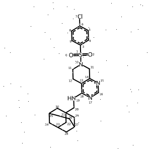 O=S(=O)(c1ccc(Cl)cc1)N1CCc2c(ncnc2NCC23CC4CC(CC(C4)C2)C3)C1